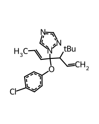 C=CC(C(C)(C)C)C(C=CC)(Oc1ccc(Cl)cc1)n1cncn1